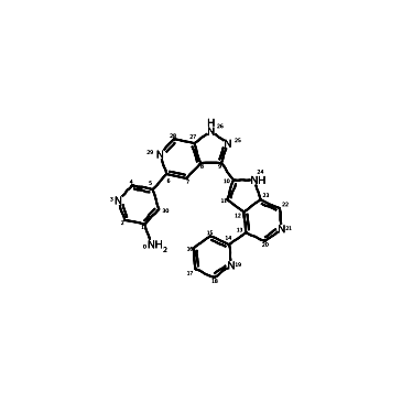 Nc1cncc(-c2cc3c(-c4cc5c(-c6ccccn6)cncc5[nH]4)n[nH]c3cn2)c1